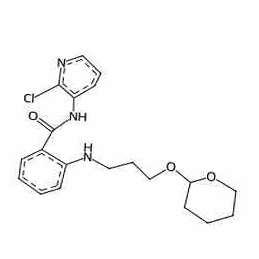 O=C(Nc1cccnc1Cl)c1ccccc1NCCCOC1CCCCO1